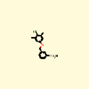 Cc1cc(OCc2cccc(C(=O)O)c2)cc(C)c1Cl